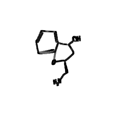 NC[C@@H]1CC(O)c2ccccc2O1